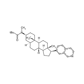 CN(C(=O)C(C)(C)C)[C@H]1CC[C@@]2(C)[C@@H](CC[C@@H]3[C@@H]2CC[C@]2(C)[C@@H](c4ccc5ccncc5c4)CC[C@@H]32)C1